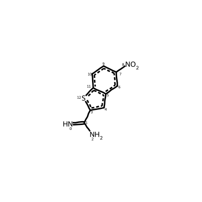 N=C(N)c1cc2cc([N+](=O)[O-])ccc2s1